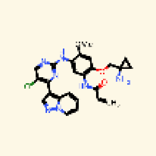 C=CC(=O)Nc1cc(Nc2ncc(Cl)c(-c3cnn4ccccc34)n2)c(OC)cc1OCC1(N)CC1